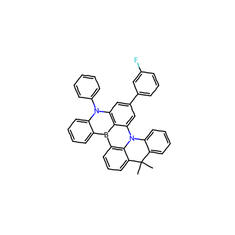 CC1(C)c2ccccc2N2c3cc(-c4cccc(F)c4)cc4c3B(c3ccccc3N4c3ccccc3)c3cccc1c32